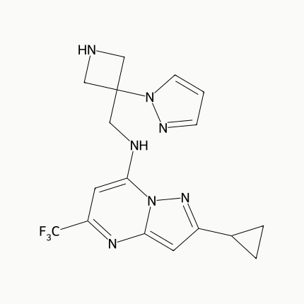 FC(F)(F)c1cc(NCC2(n3cccn3)CNC2)n2nc(C3CC3)cc2n1